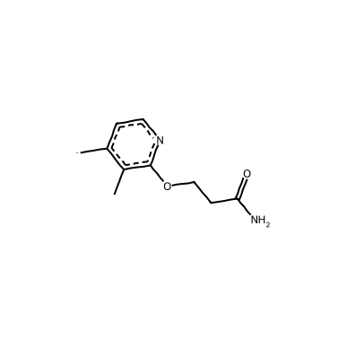 [CH2]c1ccnc(OCCC(N)=O)c1C